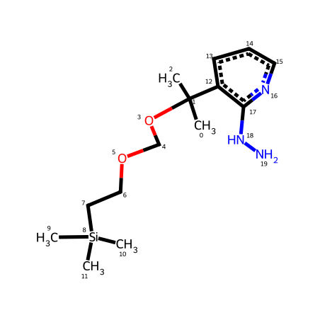 CC(C)(OCOCC[Si](C)(C)C)c1cccnc1NN